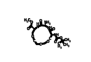 COC(=O)[C@@H]1COCCCCOC[C@H](NC(=O)OC(C)(C)C)C(=O)N[C@@H](N)C(=O)N1